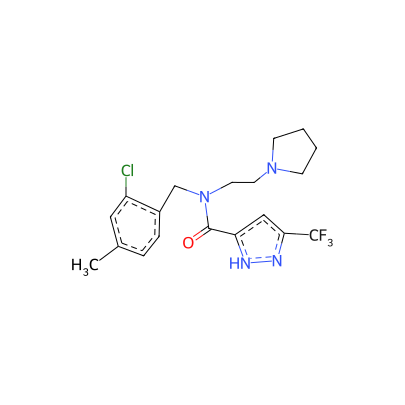 Cc1ccc(CN(CCN2CCCC2)C(=O)c2cc(C(F)(F)F)n[nH]2)c(Cl)c1